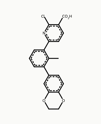 Cc1c(-c2ccc3c(c2)OCCO3)cccc1-c1ccc(C(=O)O)c(Cl)n1